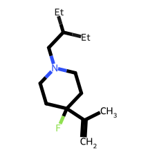 C=C(C)C1(F)CCN(CC(CC)CC)CC1